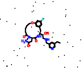 CCc1cncc(CNC[C@@H](O)[C@@H]2Cc3cc(F)cc(c3)OCCCCC(=O)N(C)C(CC(N)=O)C(=O)N2)c1